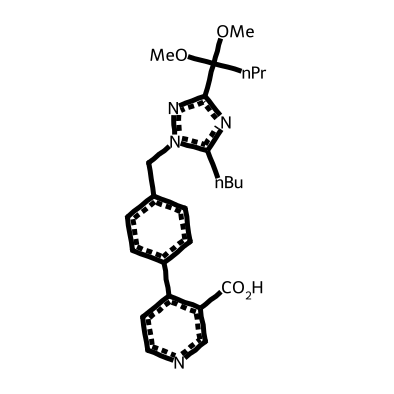 CCCCc1nc(C(CCC)(OC)OC)nn1Cc1ccc(-c2ccncc2C(=O)O)cc1